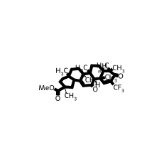 COC(=O)[C@@]1(C)CCC2(C)CC[C@]3(C)C(=CC(=O)[C@@H]4C5(C)C=C(C(F)(F)F)C(=O)C(C)(C)[C@@H]5CCC43C)C2C1